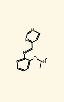 C[SiH](C)Oc1ccccc1N=Cc1ccncn1